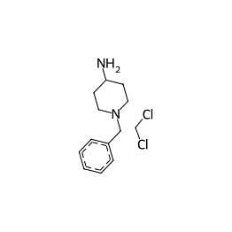 ClCCl.NC1CCN(Cc2ccccc2)CC1